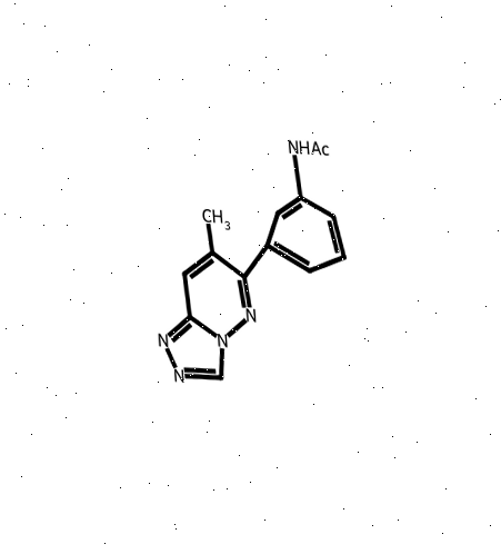 CC(=O)Nc1cccc(-c2nn3cnnc3cc2C)c1